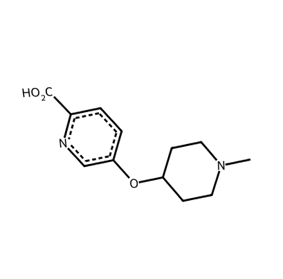 CN1CCC(Oc2ccc(C(=O)O)nc2)CC1